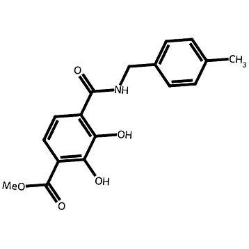 COC(=O)c1ccc(C(=O)NCc2ccc(C)cc2)c(O)c1O